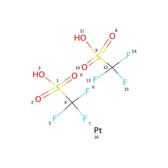 O=S(=O)(O)C(F)(F)F.O=S(=O)(O)C(F)(F)F.[Pt]